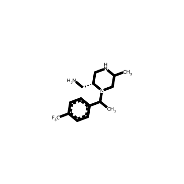 CC1CN(C(C)c2ccc(C(F)(F)F)cc2)[C@H](CN)CN1